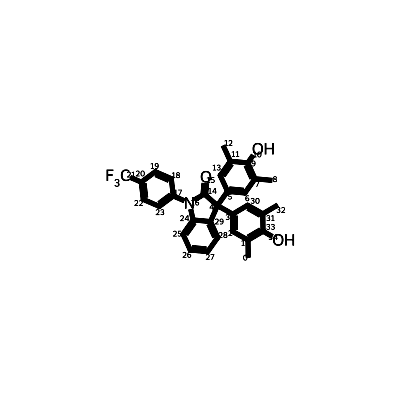 Cc1cc(C2(c3cc(C)c(O)c(C)c3)C(=O)N(c3ccc(C(F)(F)F)cc3)c3ccccc32)cc(C)c1O